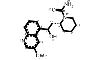 COc1cnc2cccc(C(O)C[C@H]3C[CH]CCN3C(N)=O)c2c1